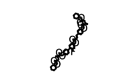 C=C(CC(=O)OC1CCCCC1)C(=O)Oc1ccc(/C=C/C(=O)Oc2ccc(-c3ccc(OC(=O)C(=C)CC(=O)OC4CCCCC4)cc3)c(F)c2)cc1